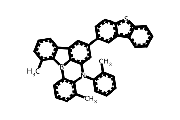 Cc1ccccc1N1c2cc(-c3ccc4sc5ccccc5c4c3)cc3c2B(c2cccc(C)c21)c1c(C)cccc1-3